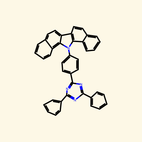 c1ccc(-c2nc(-c3ccccc3)nc(-c3ccc(-n4c5c6ccccc6ccc5c5ccc6ccccc6c54)cc3)n2)cc1